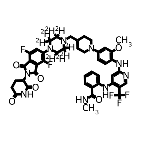 [2H]C1([2H])N(CC2CCN(c3ccc(Nc4cc(Nc5ccccc5C(=O)NC)c(C(F)(F)F)cn4)c(OC)c3)CC2)C([2H])([2H])C([2H])([2H])N(c2cc(F)c3c(c2F)C(=O)N(C2CCC(=O)NC2=O)C3=O)C1([2H])[2H]